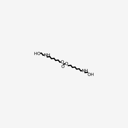 O=C(OCCCCCCCNCCO)OCCCCCCCNCCO